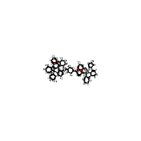 C1=CC(c2cccc3c2B(Nc2ccccc2)N(c2ccc(-c4ccc(N(c5cccc(-c6ccccc6)c5)c5cccc6c5-c5ccccc5C6(c5ccccc5)c5ccccc5)cc4)cc2)c2ccccc2-3)C=C1